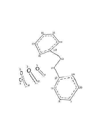 [C]=O.[C]=O.[C]=O.[Cr].c1ccc(CCc2ccccc2)cc1